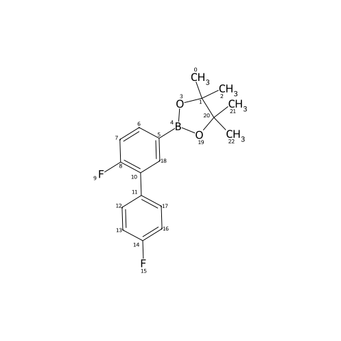 CC1(C)OB(c2ccc(F)c(-c3ccc(F)cc3)c2)OC1(C)C